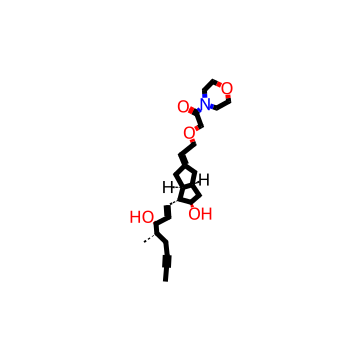 CC#CC[C@H](C)[C@@H](O)/C=C/[C@@H]1[C@H]2CC(=CCOCC(=O)N3CCOCC3)C[C@H]2C[C@H]1O